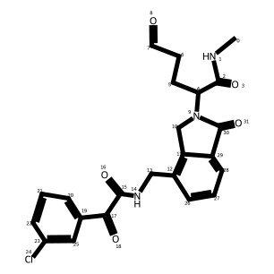 CNC(=O)C(CCC=O)N1Cc2c(CNC(=O)C(=O)c3cccc(Cl)c3)cccc2C1=O